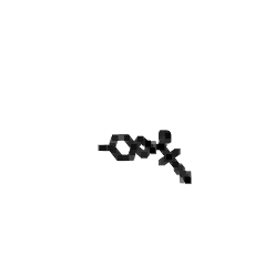 CC1CCC2(CC1)CN(C(=O)C(C)(C)C#N)C2